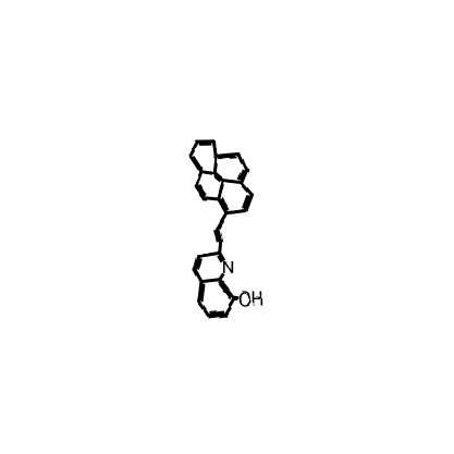 Oc1cccc2ccc(C=Cc3ccc4ccc5cccc6ccc3c4c56)nc12